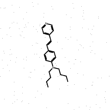 CCCCN(CCCC)c1ccc(/C=C/c2ccncc2)cc1